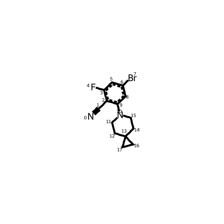 N#Cc1c(F)cc(Br)cc1N1CCC2(CC1)CC2